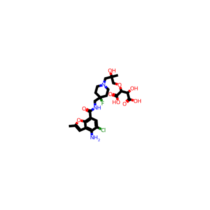 Cc1cc2c(N)c(Cl)cc(C(=O)NCC3(F)CCN(CC(C)(O)COC(C(=O)O)C(O)C(=O)O)CC3)c2o1